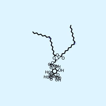 CCCCCCCC/C=C\CCCCCCCC(=O)OC[C@H](COP(=O)(O)OC1C(O)C(O)C(OP(=O)(O)O)C(OP(=O)(O)O)C1O)OC(=O)CCCCCCC/C=C\CCCCCCCC